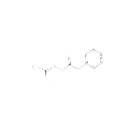 N/C(=N/NC(=O)Cc1ccccc1)C(=O)O